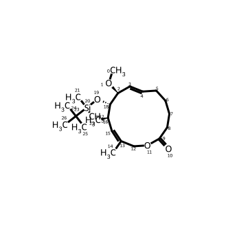 CO[C@H]1/C=C/CCCCC(=O)OC/C(C)=C\[C@@H](C)[C@@H]1O[Si](C)(C)C(C)(C)C